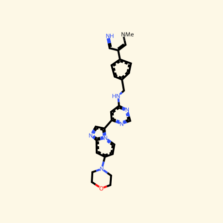 CN/C=C(\C=N)c1ccc(CNc2cc(-c3cnc4cc(N5CCOCC5)ccn34)ncn2)cc1